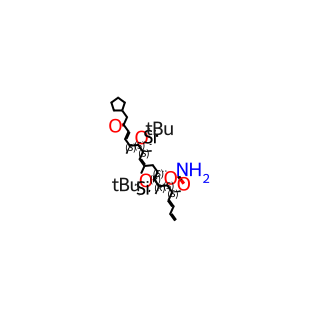 C=CC=C[C@H](C)[C@H](OC(N)=O)[C@@H](C)[C@H](O[Si](C)(C)C(C)(C)C)[C@@H](C)CC(C)=C[C@H](C)[C@@H](O[Si](C)(C)C(C)(C)C)[C@@H](C)C=CC(=O)CC1CCCC1